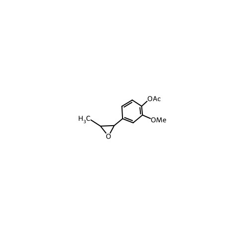 COc1cc(C2OC2C)ccc1OC(C)=O